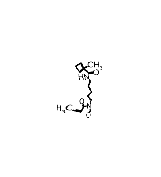 C/C=C\C(=O)N(C=O)CCCCCNC(=O)C1(C)CCC1